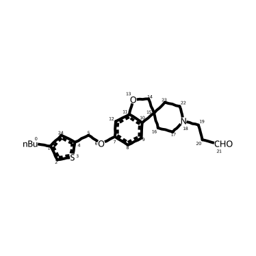 CCCCc1csc(COc2ccc3c(c2)OCC32CCN(CCC=O)CC2)c1